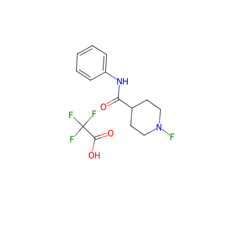 O=C(Nc1ccccc1)C1CCN(F)CC1.O=C(O)C(F)(F)F